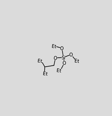 CCO[Si](OCC)(OCC)OCC(CC)CC